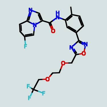 Cc1ccc(-c2noc(COCCOCC(F)(F)F)n2)cc1NC(=O)c1cnc2ccc(F)cn12